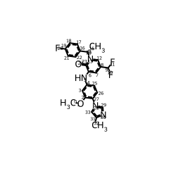 COc1cc(Nc2cc(C(F)F)cn([C@@H](C)c3ccc(F)cc3)c2=O)ccc1-n1cnc(C)c1